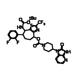 CC(C)(C)OC(=O)NC1c2sc(C(F)(F)F)nc2C(OC(=O)N2CCC(n3c(=O)[nH]c4ncccc43)CC2)CCC1c1cccc(F)c1F